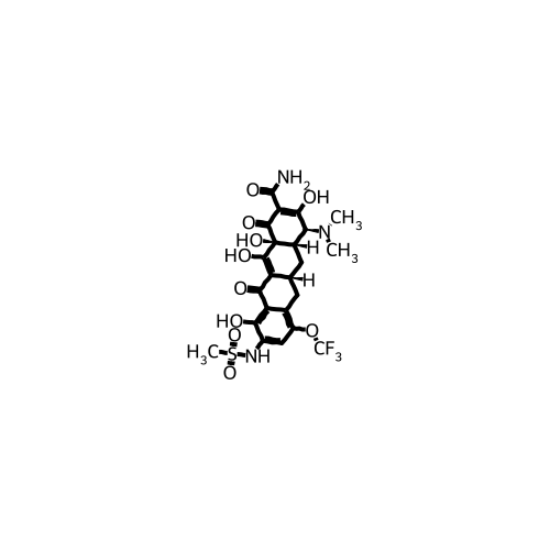 CN(C)[C@@H]1C(O)=C(C(N)=O)C(=O)[C@@]2(O)C(O)=C3C(=O)c4c(O)c(NS(C)(=O)=O)cc(OC(F)(F)F)c4C[C@H]3C[C@@H]12